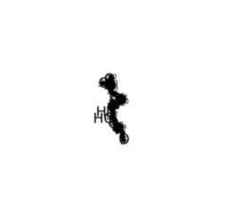 COCCc1ccc(OCC(O)CNC2CCN([C@H]3CCCC[C@H]3OCCc3ccc(OC)c(OC)c3)C2)cc1